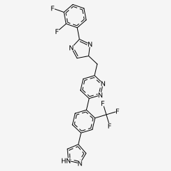 Fc1cccc(C2=NC(Cc3ccc(-c4ccc(-c5cn[nH]c5)cc4C(F)(F)F)nn3)C=N2)c1F